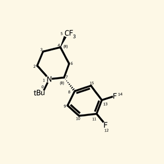 CC(C)(C)N1CC[C@@H](C(F)(F)F)C[C@@H]1c1ccc(F)c(F)c1